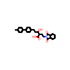 Cc1ccc(-c2ccc(CCC(O)C(CCN3C(=O)c4ccccc4C3=O)C(=O)O)cc2)cc1